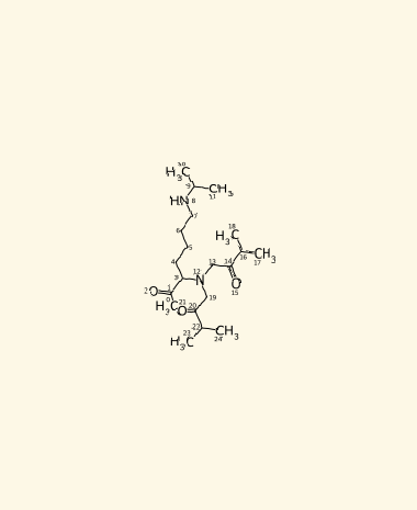 CC(=O)C(CCCCNC(C)C)N(CC(=O)C(C)C)CC(=O)C(C)C